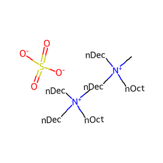 CCCCCCCCCC[N+](C)(CCCCCCCC)CCCCCCCCCC.CCCCCCCCCC[N+](C)(CCCCCCCC)CCCCCCCCCC.O=S(=O)([O-])[O-]